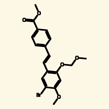 COCOc1cc(OC)c(Br)cc1/C=C/c1ccc(C(=O)OC)cc1